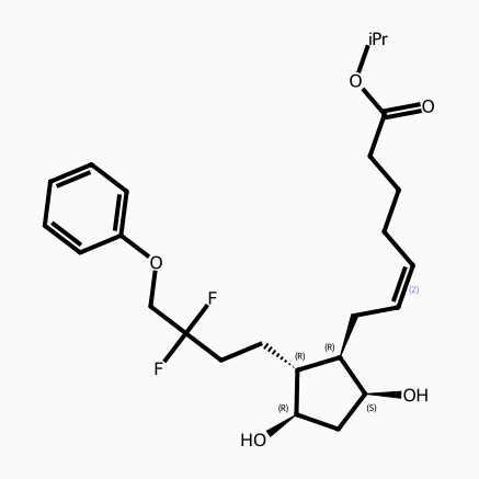 CC(C)OC(=O)CCC/C=C\C[C@@H]1[C@@H](CCC(F)(F)COc2ccccc2)[C@H](O)C[C@@H]1O